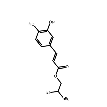 CCCCC(CC)COC(=O)/C=C/c1ccc(O)c(O)c1